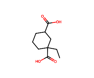 CCC1(C(=O)O)CCCC(C(=O)O)C1